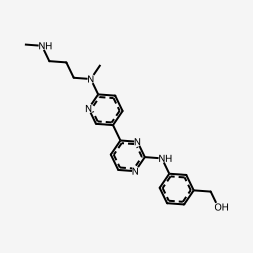 CNCCCN(C)c1ccc(-c2ccnc(Nc3cccc(CO)c3)n2)cn1